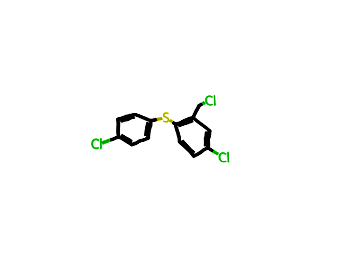 ClCc1cc(Cl)ccc1Sc1ccc(Cl)cc1